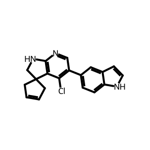 Clc1c(-c2ccc3[nH]ccc3c2)cnc2c1C1(CC=CC1)CN2